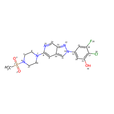 CS(=O)(=O)N1CCN(c2cc3cn(-c4cc(O)c(Cl)c(F)c4)nc3cn2)CC1